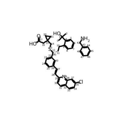 CC(C)(O)c1ccccc1CC[C@@H](SCC1(CC(=O)O)CC1)c1cccc(C=Cc2ccc3ccc(Cl)cc3n2)c1.NCc1ccccc1